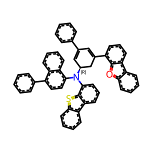 C1=C(c2ccccc2)C=C(c2cccc3c2oc2ccccc23)C[C@H]1N(c1ccc(-c2ccccc2)c2ccccc12)c1cccc2c1sc1ccccc12